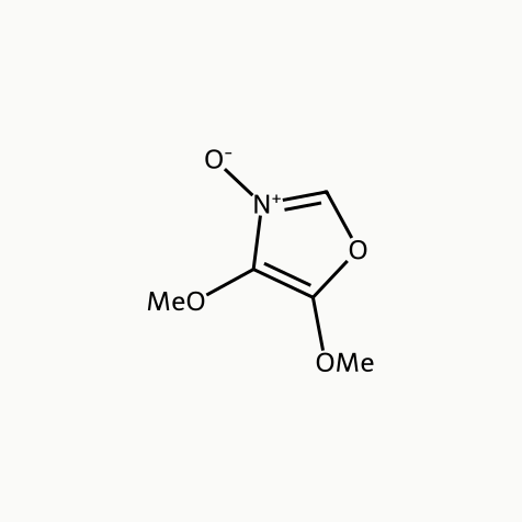 COc1oc[n+]([O-])c1OC